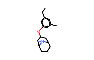 CCc1cc(C)cc(OC2CC3CCCC(C2)N3)c1